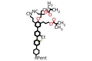 C=C(C)C(=O)OCCCc1cc(-c2ccc(-c3ccc(C4CCC(CCCCC)CC4)cc3F)c(CC)c2)cc(CCCC#N)c1OCC(CC#N)(CC#N)COC(=O)C(=C)C